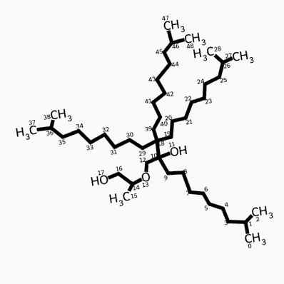 CC(C)CCCCCCCC(O)(COC(C)CO)C(CCCCCCCC(C)C)(CCCCCCCC(C)C)CCCCCCCC(C)C